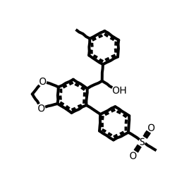 Cc1cccc(C(O)c2cc3c(cc2-c2ccc(S(C)(=O)=O)cc2)OCO3)c1